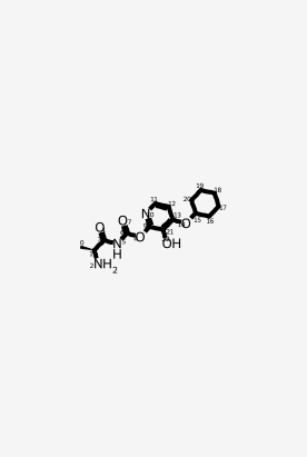 C[C@H](N)C(=O)NC(=O)Oc1nccc(OC2CCCCC2)c1O